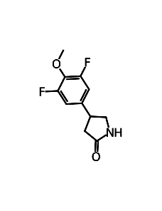 COc1c(F)cc(C2CNC(=O)C2)cc1F